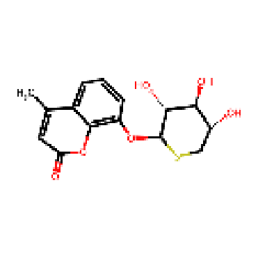 Cc1cc(=O)oc2c(O[C@@H]3SC[C@@H](O)[C@H](O)[C@H]3O)cccc12